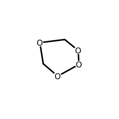 C1OCOOO1